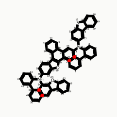 c1ccc(-c2ccccc2N(c2ccc3sc4ccccc4c3c2)c2ccc3c(c2)c2ccccc2c2c4ccc(N(c5ccccc5-c5ccccc5)c5cccc6c5oc5ccccc56)cc4oc32)cc1